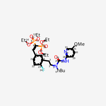 CCCCN(CCc1cc(C=C(P(=O)(OCC)OCC)P(=O)(OCC)OCC)ccc1F)C(=O)Nc1ccc(OC)cn1